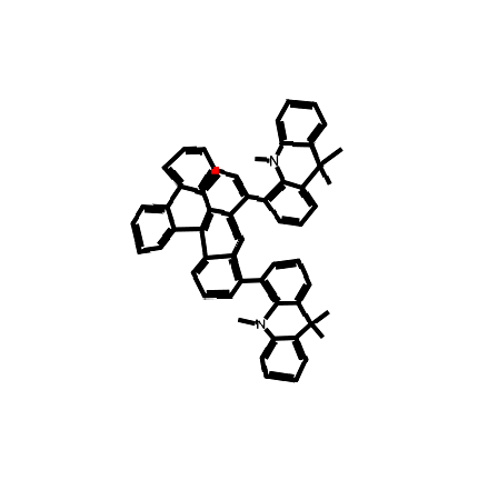 CN1c2ccccc2C(C)(C)c2cccc(-c3cccc4c(-c5ccccc5-c5ccccc5)c5cccc(-c6cccc7c6N(C)c6ccccc6C7(C)C)c5cc34)c21